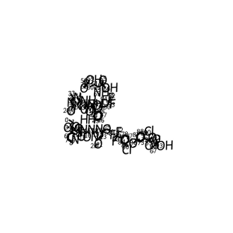 CCS(=O)(=O)c1cccnc1S(=O)(=O)NC(=O)Nc1nc(OC)cc(OC)n1.COc1nc(C)nc(NC(=O)NS(=O)(=O)c2ccccc2CCC(F)(F)F)n1.CP(=O)(O)CCC(N)C(=O)O.C[C@H](OC(=O)c1cc(Oc2ccc(C(F)(F)F)cc2Cl)ccc1Cl)C(=O)O